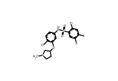 CN1CCC(Oc2cc(NS(=O)(=O)c3cc(F)c(F)cc3Cl)ccc2Cl)C1